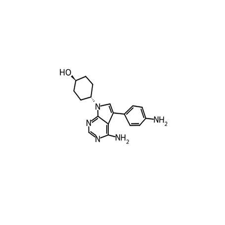 Nc1ccc(-c2cn([C@H]3CC[C@H](O)CC3)c3ncnc(N)c23)cc1